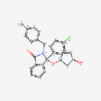 O=C1c2ccccc2C(OC2C=C[C@@H](O)C2)(c2ccc(Cl)cc2)N1Cc1ccc([N+](=O)[O-])cc1